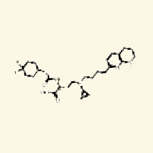 O=C(N[C@@H](CCN(CCCCc1ccc2c(n1)NCCC2)C1CC1)C(=O)O)OC1CCC(F)(F)CC1